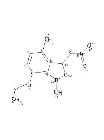 CCOc1ccc(C)c2c1B(O)OC2C[N+](=O)[O-]